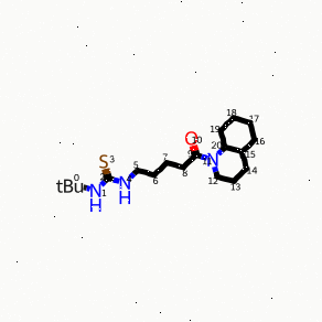 CC(C)(C)NC(=S)NCCCCC(=O)N1CCCC2CCCCC21